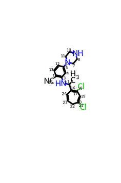 CC(Nc1cc(N2CCNCC2)ccc1C#N)C1=C(Cl)C=C(Cl)CC=C1